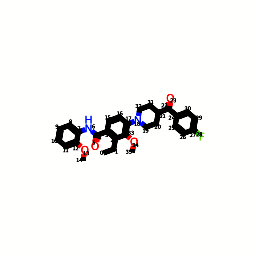 CCc1c(C(=O)Nc2ccccc2OC)ccc(N2CCC(C(=O)c3ccc(F)cc3)CC2)c1OC